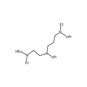 CCCCN(CC)CCN(CCC)CCCN(CC)CCC